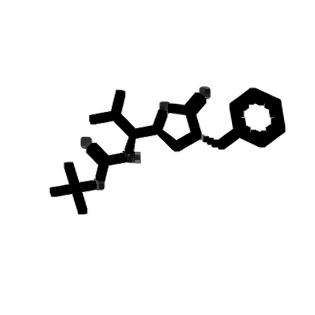 CC(C)[C@H](NC(=O)OC(C)(C)C)[C@@H]1C[C@@H](Cc2ccccc2)C(=O)O1